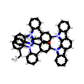 C=C1c2ccc(-n3c4ccccc4c4ccc5c6ccccc6n(-c6ccc7c(c6)c6ccccc6n6c8ccccc8nc76)c5c43)cc2-c2ccccc2N1c1ccccc1CC